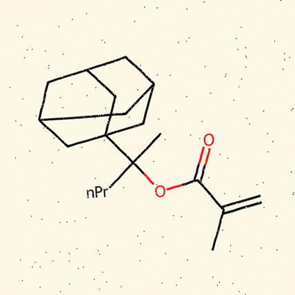 C=C(C)C(=O)OC(C)(CCC)C12CC3CC(CC(C3)C1)C2